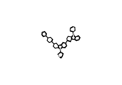 C1=CCCC(n2c3c(c4ccccc42)C=C(c2ccc4c(c2)c2c(n4-c4ccccc4)CCC(C4=CCC(c5ccccc5)CC4)C2)CC3)=C1